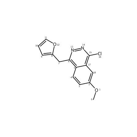 COc1ccc2c(Cc3ccco3)nnc(Cl)c2c1